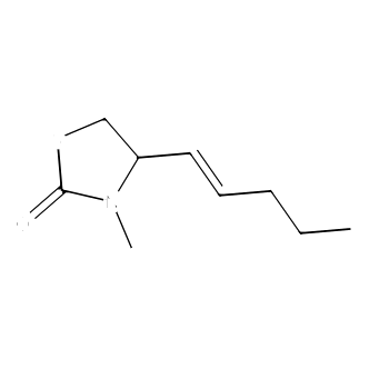 CCC/C=C/C1CSC(=O)N1C